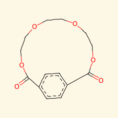 O=C1OCCOCCOCCOC(=O)c2ccc1cc2